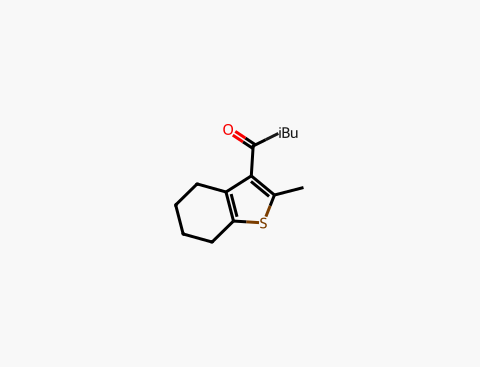 CCC(C)C(=O)c1c(C)sc2c1CCCC2